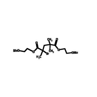 COCCOC(=O)C(C)(C)CC(C)(Br)C(=O)OCCOC